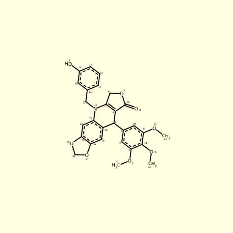 COc1cc(C2C3=C(COC3=O)N(Cc3cccc(O)c3)c3cc4c(cc32)OCO4)cc(OC)c1OC